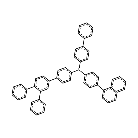 c1ccc(-c2ccc(N(c3ccc(-c4ccc(-c5ccccc5)c(-c5ccccc5)c4)cc3)c3ccc(-c4cccc5ccccc45)cc3)cc2)cc1